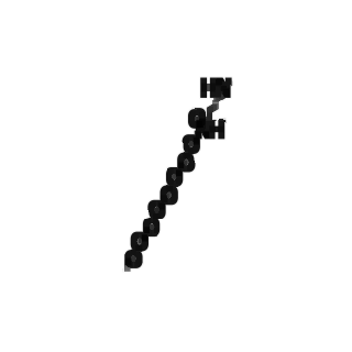 CCOCCOCCOCCOCCOCCOCCOCCOCCNC(=O)CCCCCNC